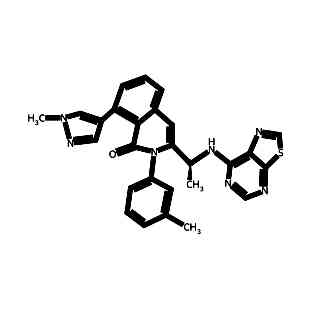 Cc1cccc(-n2c([C@H](C)Nc3ncnc4scnc34)cc3cccc(-c4cnn(C)c4)c3c2=O)c1